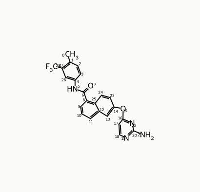 Cc1ccc(NC(=O)c2cccc3cc(Oc4ccnc(N)n4)ccc23)cc1C(F)(F)F